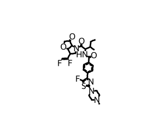 CCC(C)C(NC(=O)c1ccc(-c2nc(N3CCN(C)CC3)sc2F)cc1)C(=O)N1CC(C(F)=CF)C2OCC(=O)C21